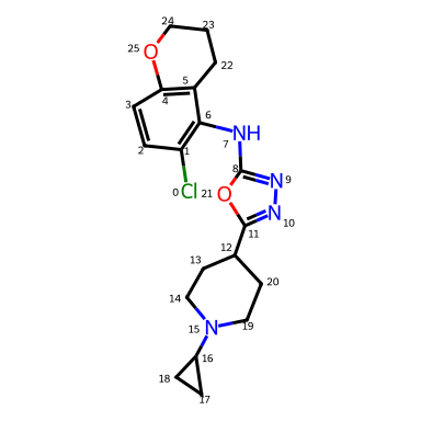 Clc1ccc2c(c1Nc1nnc(C3CCN(C4CC4)CC3)o1)CCCO2